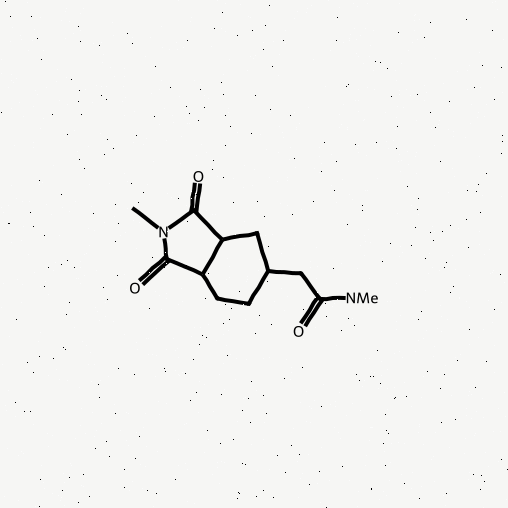 CNC(=O)CC1CCC2C(=O)N(C)C(=O)C2C1